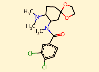 CN(C)C1CCC2(CC1N(C)C(=O)c1ccc(Cl)c(Cl)c1)OCCO2